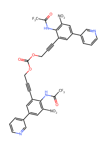 O=C(OCC#Cc1cc(-c2cccnc2)cc([N+](=O)[O-])c1NC(=O)C(F)(F)F)OCC#Cc1cc(-c2cccnc2)cc([N+](=O)[O-])c1NC(=O)C(F)(F)F